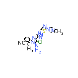 Cc1c(C#N)cccc1-c1nc(N)c(Cl)c(-c2cn(Cc3cnc(N4CCN(C)CC4)s3)nn2)n1